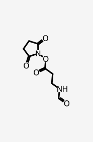 O=CNCCC(=O)ON1C(=O)CCC1=O